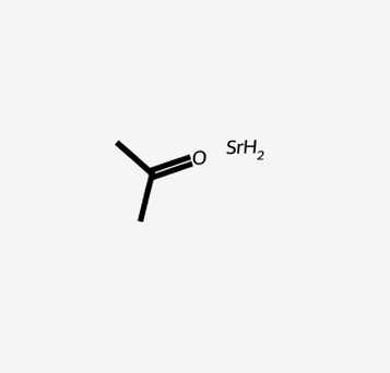 CC(C)=O.[SrH2]